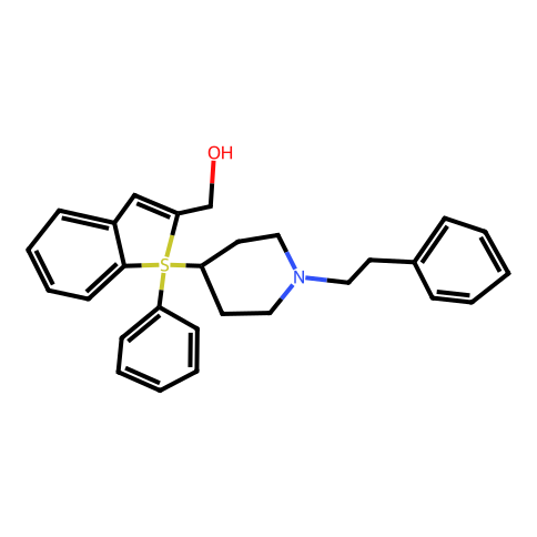 OCC1=Cc2ccccc2S1(c1ccccc1)C1CCN(CCc2ccccc2)CC1